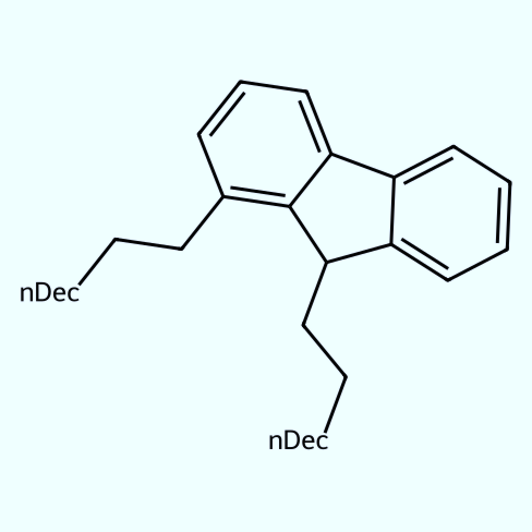 CCCCCCCCCCCCc1cccc2c1C(CCCCCCCCCCCC)c1ccccc1-2